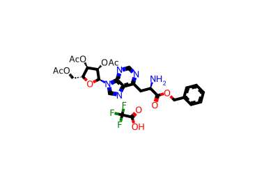 CC(=O)OC[C@H]1O[C@H](n2cnc3c(C[C@@H](N)C(=O)OCc4ccccc4)ncnc32)[C@H](OC(C)=O)[C@@H]1OC(C)=O.O=C(O)C(F)(F)F